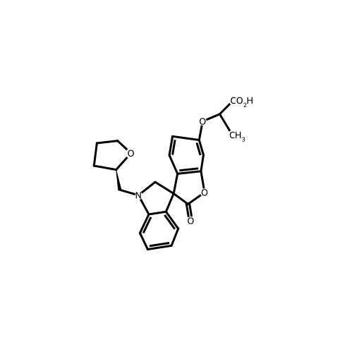 CC(Oc1ccc2c(c1)OC(=O)C21CN(C[C@H]2CCCO2)c2ccccc21)C(=O)O